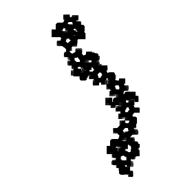 CCc1cc(Cc2cc(CC)c(N3C(=O)c4ccc(Oc5ccc(C(C)(C)c6ccc(Oc7ccc8c(c7)C(=O)N(c7c(CC)cc(C)cc7CC)C8=O)cc6)cc5)cc4C3=O)c(CC)c2)cc(CC)c1N1C(=O)C=CC1=O